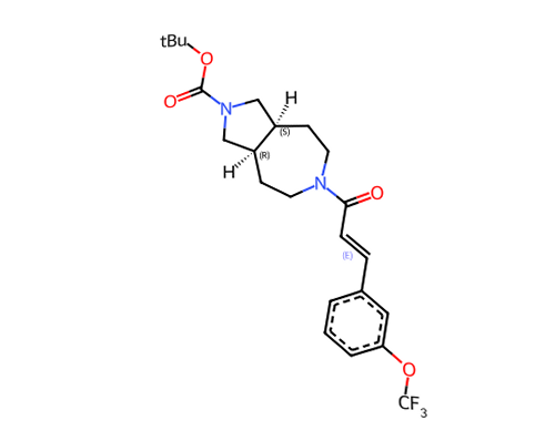 CC(C)(C)OC(=O)N1C[C@H]2CCN(C(=O)/C=C/c3cccc(OC(F)(F)F)c3)CC[C@H]2C1